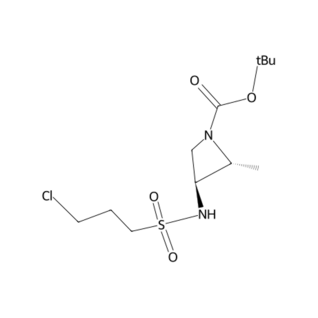 C[C@@H]1[C@@H](NS(=O)(=O)CCCCl)CN1C(=O)OC(C)(C)C